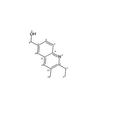 CCc1nc2ccc(CO)cc2cc1C